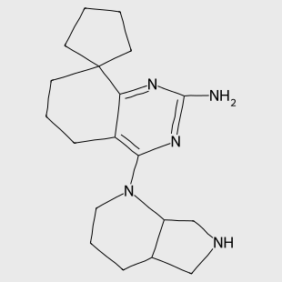 Nc1nc(N2CCCC3CNCC32)c2c(n1)C1(CCCC1)CCC2